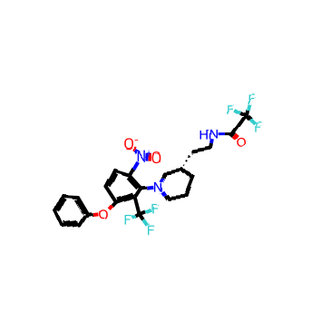 O=C(NCC[C@@H]1CCCN(c2c([N+](=O)[O-])ccc(Oc3ccccc3)c2C(F)(F)F)C1)C(F)(F)F